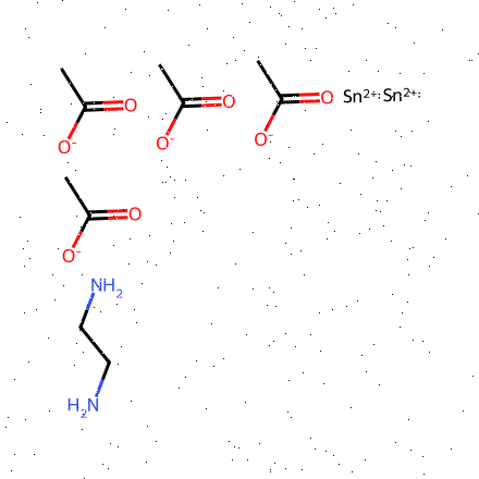 CC(=O)[O-].CC(=O)[O-].CC(=O)[O-].CC(=O)[O-].NCCN.[Sn+2].[Sn+2]